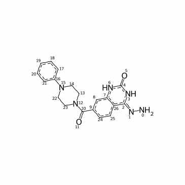 NN=c1[nH]c(=O)[nH]c2cc(C(=O)N3CCN(c4ccccc4)CC3)ccc12